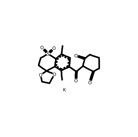 Cc1cc(C(=O)C2C(=O)CCCC2=O)c(C)c2c1S(=O)(=O)CCC21OCCO1.[K]